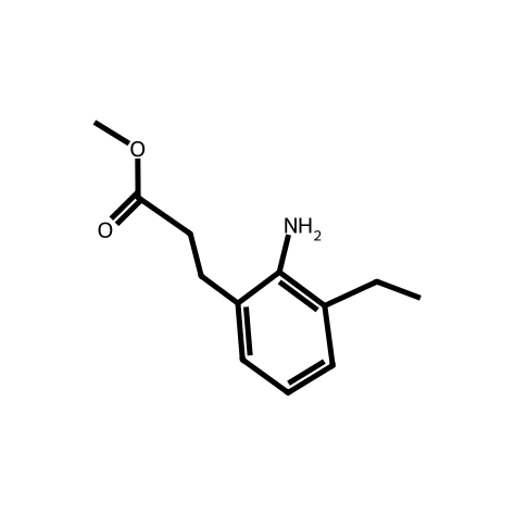 CCc1cccc(CCC(=O)OC)c1N